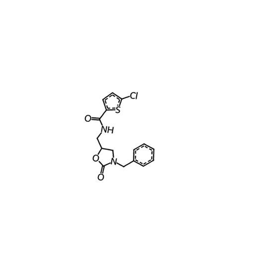 O=C(NCC1CN(Cc2ccccc2)C(=O)O1)c1ccc(Cl)s1